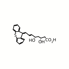 O=C(O)C[C@H](O)C[C@H](O)/C=C/C=C1c2ccccc2Sc2ccccc21